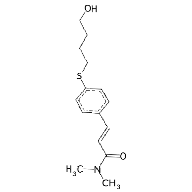 CN(C)C(=O)C=Cc1ccc(SCCCCO)cc1